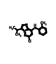 Cc1ccccc1Nc1cc(Cl)nn2c(C(C)C)cnc12